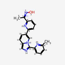 C/C(=N/O)c1cccc(-c2ccc3cnc(-c4cccc(C)n4)n3c2)n1